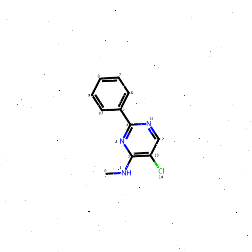 CNc1nc(-c2ccccc2)ncc1Cl